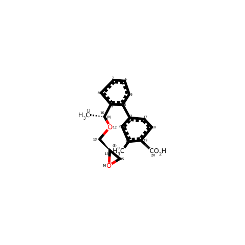 Cc1cc(-c2ccccc2[C@@H](C)OC[C@H]2CO2)ccc1C(=O)O